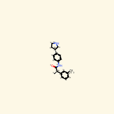 C[C@@H](C(=O)Nc1ccc([C@H]2CCNC2)cc1)c1cccc(C(F)(F)F)c1